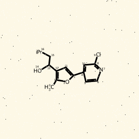 Cc1oc(-c2ccnc(Cl)c2)cc1C(O)CC(C)C